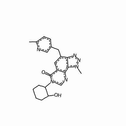 Cc1ccc(Cc2cc3c(=O)n(C4CCCCC4O)cnc3c3c2nnn3C)cn1